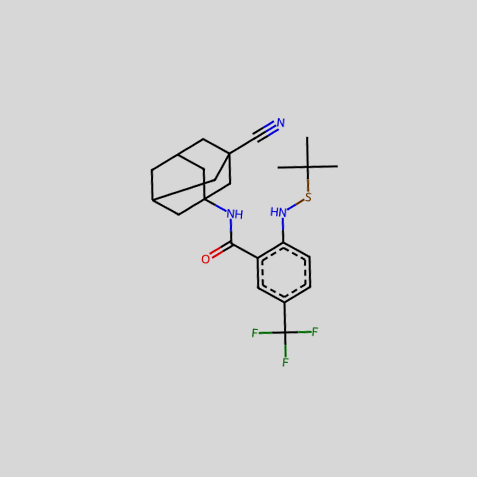 CC(C)(C)SNc1ccc(C(F)(F)F)cc1C(=O)NC12CC3CC(CC(C#N)(C3)C1)C2